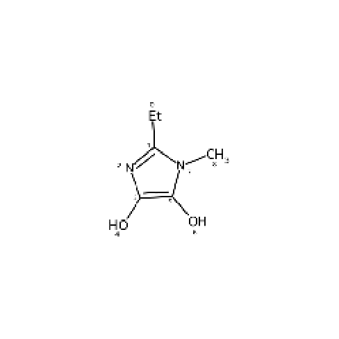 CCc1nc(O)c(O)n1C